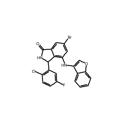 O=C1NC(c2cc(F)ccc2Cl)c2c(Nc3coc4ccccc34)cc(Br)cc21